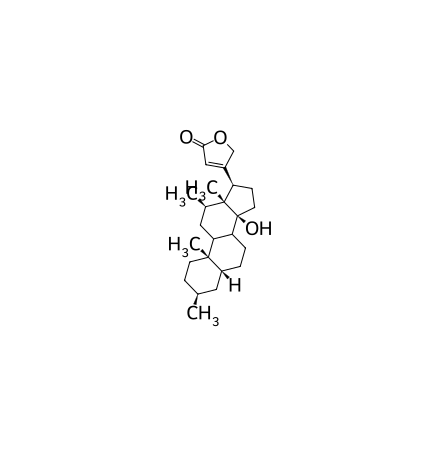 C[C@H]1CC[C@]2(C)C3C[C@@H](C)[C@]4(C)[C@@H](C5=CC(=O)OC5)CC[C@]4(O)C3CC[C@@H]2C1